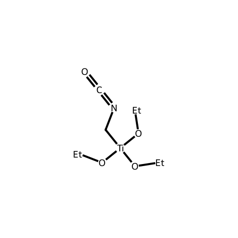 CC[O][Ti]([CH2]N=C=O)([O]CC)[O]CC